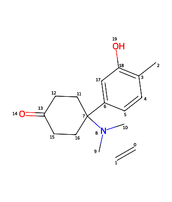 C=C.Cc1ccc(C2(N(C)C)CCC(=O)CC2)cc1O